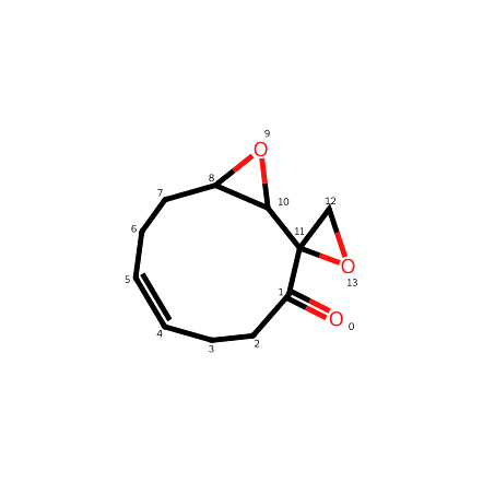 O=C1CCC=CCCC2OC2C12CO2